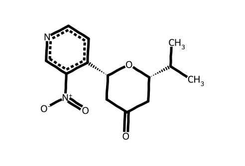 CC(C)[C@@H]1CC(=O)C[C@H](c2ccncc2[N+](=O)[O-])O1